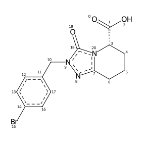 O=C(O)[C@@H]1CCCc2nn(Cc3ccc(Br)cc3)c(=O)n21